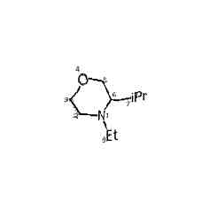 CCN1CCOCC1C(C)C